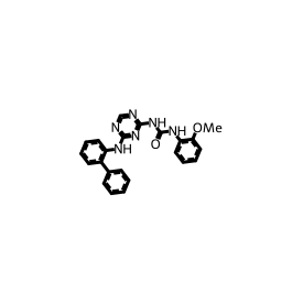 COc1ccccc1NC(=O)Nc1ncnc(Nc2ccccc2-c2ccccc2)n1